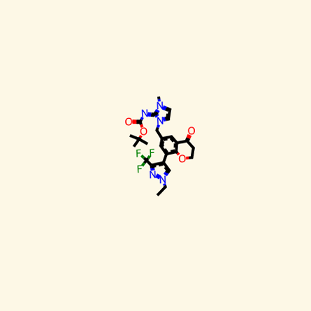 CCn1cc(-c2cc(Cn3ccn(C)/c3=N/C(=O)OC(C)(C)C)cc3c2OCCC3=O)c(C(F)(F)F)n1